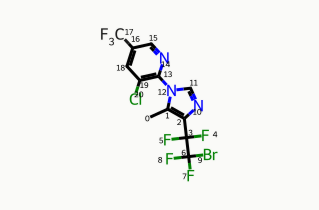 Cc1c(C(F)(F)C(F)(F)Br)ncn1-c1ncc(C(F)(F)F)cc1Cl